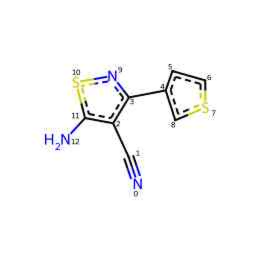 N#Cc1c(-c2ccsc2)nsc1N